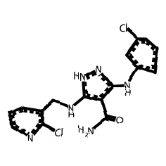 NC(=O)c1c(Nc2cccc(Cl)c2)n[nH]c1NCc1cccnc1Cl